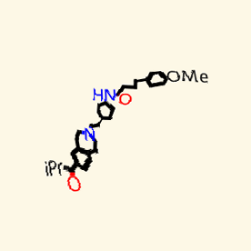 COc1ccc(CCCC(=O)N[C@H]2CC[C@H](CCN3CCc4ccc(C(=O)C(C)C)cc4CC3)CC2)cc1